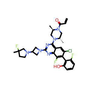 C=CC(=O)N1C[C@H](C)N(c2nc(N3CC(N4CCC(C)(F)C4)C3)nc3c(F)c(-c4c(O)cccc4F)c(Cl)cc23)C[C@H]1C